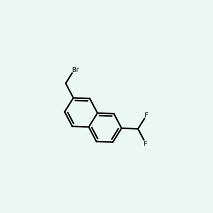 FC(F)c1ccc2ccc(CBr)cc2c1